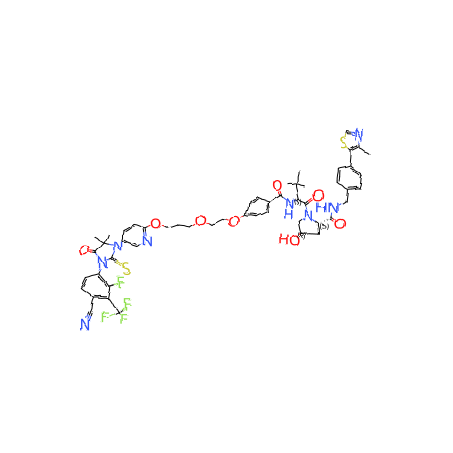 Cc1ncsc1-c1ccc(CNC(=O)[C@@H]2C[C@@H](O)CN2C(=O)[C@@H](NC(=O)c2ccc(OCCOCCCOc3ccc(N4C(=S)N(c5ccc(C#N)c(C(F)(F)F)c5F)C(=O)C4(C)C)cn3)cc2)C(C)(C)C)cc1